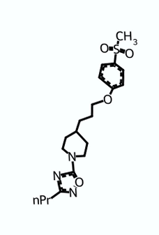 CCCc1noc(N2CCC(CCCOc3ccc(S(C)(=O)=O)cc3)CC2)n1